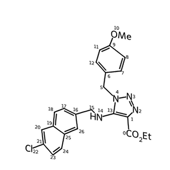 CCOC(=O)c1nnn(Cc2ccc(OC)cc2)c1NCc1ccc2cc(Cl)ccc2c1